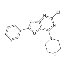 Clc1nc(N2CCOCC2)c2oc(-c3cccnc3)cc2n1